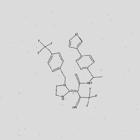 CC(NC(=O)/C(C(=N)C(F)(F)F)=C1/NCCN1Cc1ccc(C(F)(F)F)cc1)c1ccc(-c2ccoc2)cc1